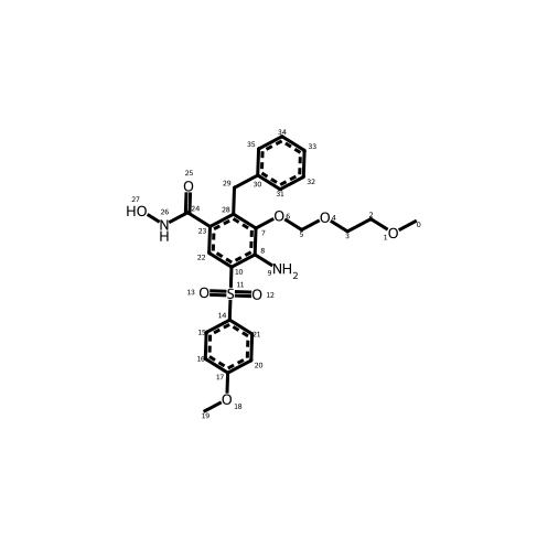 COCCOCOc1c(N)c(S(=O)(=O)c2ccc(OC)cc2)cc(C(=O)NO)c1Cc1ccccc1